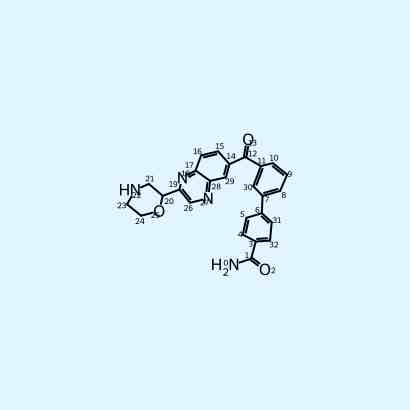 NC(=O)c1ccc(-c2cccc(C(=O)c3ccc4nc(C5CNCCO5)cnc4c3)c2)cc1